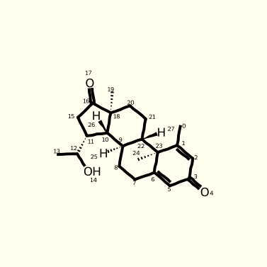 CC1=CC(=O)C=C2CC[C@H]3[C@@H]4[C@H](C(C)O)CC(=O)[C@@]4(C)CC[C@@H]3[C@@]12C